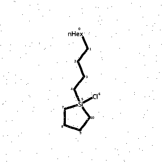 CCCCCCCCCC[Si]1(Cl)CCCC1